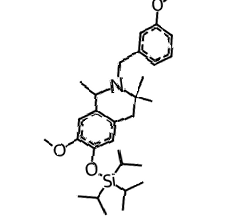 COc1cccc(CN2C(C)c3cc(OC)c(O[Si](C(C)C)(C(C)C)C(C)C)cc3CC2(C)C)c1